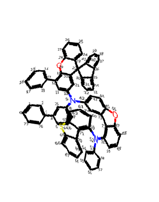 c1ccc(-c2cccc(N(c3cc(-c4ccccc4)c4c(c3)C3(c5ccccc5O4)c4ccccc4-c4ccccc43)c3ccc4oc5cccc(N(c6ccccc6)c6cccc7sc8ccccc8c67)c5c4c3)c2)cc1